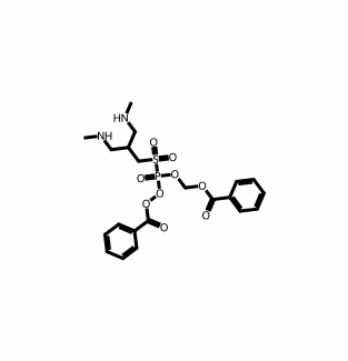 CNCC(CNC)CS(=O)(=O)P(=O)(OCOC(=O)c1ccccc1)OOC(=O)c1ccccc1